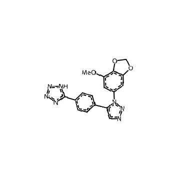 COc1cc(-n2nncc2-c2ccc(-c3nnn[nH]3)cc2)cc2c1OCO2